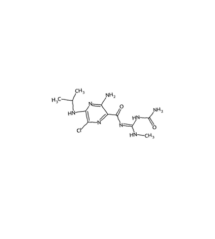 CN/C(=N/C(=O)c1nc(Cl)c(NC(C)C)nc1N)NC(N)=O